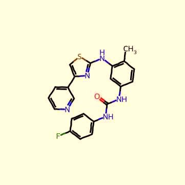 Cc1ccc(NC(=O)Nc2ccc(F)cc2)cc1Nc1nc(-c2cccnc2)cs1